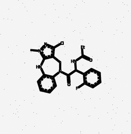 CCC(=O)NC(C(=O)N1Cc2c(Cl)nn(C)c2Nc2ccccc21)c1ccccc1F